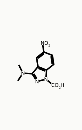 CN(C)c1nn(C(=O)O)c2ccc([N+](=O)[O-])cc12